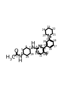 CC(=O)N[C@H]1CC[C@H](Nc2ncc(F)c(-c3cccc(N4CCCCC4)c3)n2)CC1